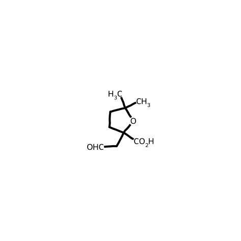 CC1(C)CCC(CC=O)(C(=O)O)O1